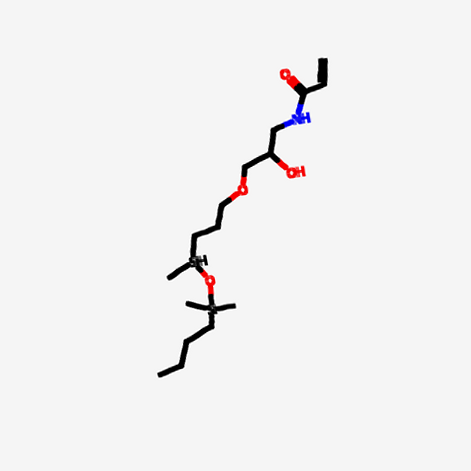 C=CC(=O)NCC(O)COCCC[SiH](C)O[Si](C)(C)CCCC